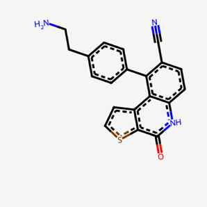 N#Cc1ccc2[nH]c(=O)c3sccc3c2c1-c1ccc(CCN)cc1